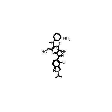 CC(C)n1cc2c(Cl)c(-c3n[nH]c4nc(N(C)[C@@H]5CCC[C@H](N)[C@@H]5F)c(CO)nc34)ccc2n1